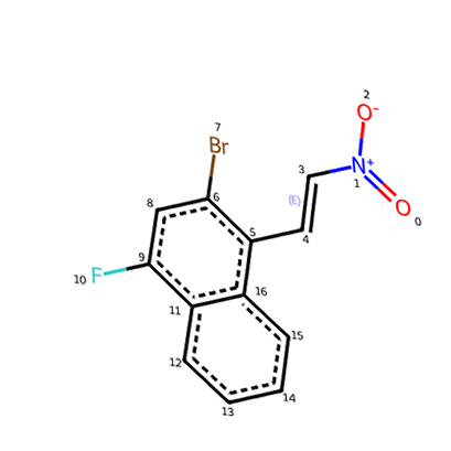 O=[N+]([O-])/C=C/c1c(Br)cc(F)c2ccccc12